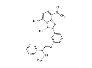 CNC(COc1cccc(-n2nc3c(N(C)C)nnc(C)c3c2C)c1)c1ccccc1